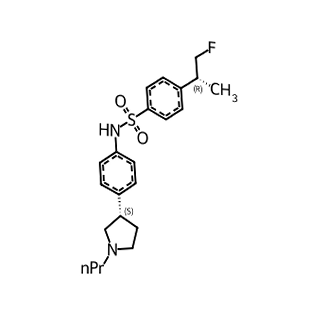 CCCN1CC[C@@H](c2ccc(NS(=O)(=O)c3ccc([C@@H](C)CF)cc3)cc2)C1